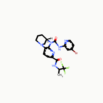 CC(NC(=O)c1ccc2c(n1)N(C(=O)Nc1cc(Br)ccn1)[C@H]1CCCN2C1)C(F)(F)F